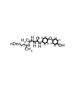 CCCCCCCCCCCCC(C)SC(C)NNC(=O)Nc1ccc(Oc2ccc(O)cc2)cc1